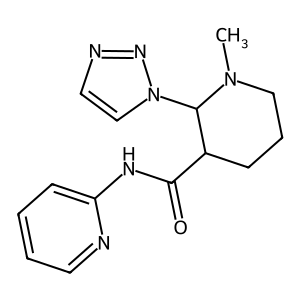 CN1CCCC(C(=O)Nc2ccccn2)C1n1ccnn1